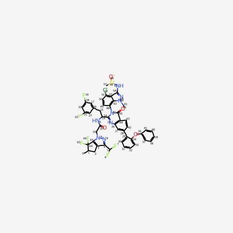 CC1Cc2c(C(F)F)nn(CC(=O)NC(Cc3cc(F)cc(F)c3)c3nc4cc(-c5ccccc5Oc5ccccc5)ccc4c(=O)n3-c3ccc(Cl)c4c(N[S+](C)[O-])nn(C)c34)c2C1(F)F